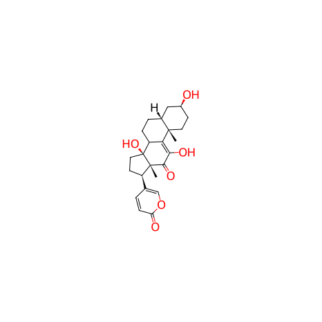 C[C@]12CC[C@H](O)C[C@H]1CCC1C2=C(O)C(=O)[C@]2(C)[C@@H](c3ccc(=O)oc3)CC[C@]12O